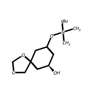 CC(C)(C)[Si](C)(C)OC1C[C@@H](O)CC2(COCO2)C1